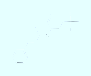 CC(F)(F)CCC(C=O)NC(=O)OCc1ccccc1